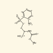 CC(C)(C)OC(=O)NC(CSS(=O)(=O)c1ncccc1[N+](=O)[O-])C(=O)O